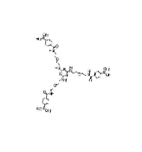 O=C(NCCOCCNc1nc(NCCOCCNC(=O)c2ccc(B(O)O)cc2)nc(NCCOCCNC(=O)c2ccc(B(O)O)cc2)n1)c1ccc(B(O)O)cc1